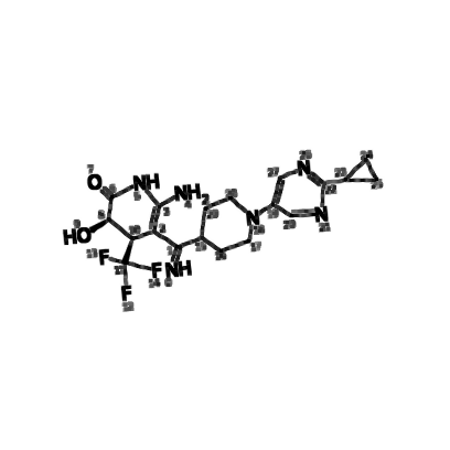 N=C(C1=C(N)NC(=O)[C@H](O)[C@@H]1C(F)(F)F)C1CCN(c2cnc(C3CC3)nc2)CC1